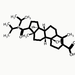 CC1=C(C(=O)O)CC[C@@]2(C)C1CC[C@@H]1[C@H]2CC[C@]2(C)C(C(=O)N(C(C)C)C(C)C)CC[C@@H]12